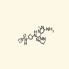 Cc1nc(N)cc(-c2c(Nc3ccc(NC(=O)N4CCCC4)cc3)nc3cccnn23)n1